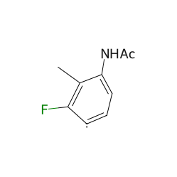 CC(=O)Nc1cc[c]c(F)c1C